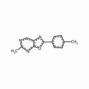 Cc1ccc(-c2nc3cnc(C)nc3o2)cc1